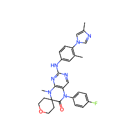 Cc1cn(-c2ccc(Nc3ncc4c(n3)N(C)C3(CCOCC3)C(=O)N4c3ccc(F)cc3)cc2C)cn1